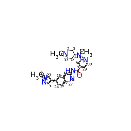 CN1CCC(N(C)c2cc(C(=O)Nc3cc4cc(-c5cnn(C)c5)ccc4cn3)ccn2)CC1